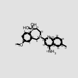 COc1ccc2c(c1)CN(c1cc(N)c3cc(C)ccc3n1)CCS2(O)O